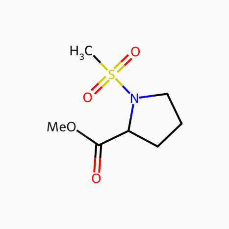 COC(=O)C1CCCN1S(C)(=O)=O